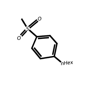 CCCCCCc1ccc(S(C)(=O)=O)cc1